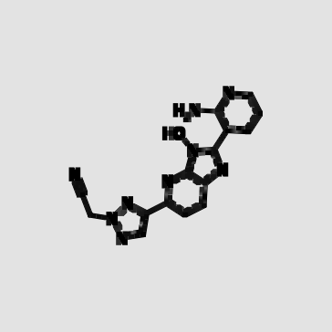 N#CCn1ncc(-c2ccc3nc(-c4cccnc4N)n(O)c3n2)n1